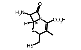 CC1=C(C(=O)O)N2C(=O)C(N)[C@H]2SC1CS